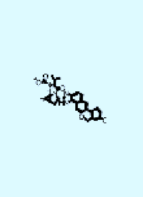 COC(=O)N[C@H](C(=O)N1C2C(C[C@H]1c1nc3ccc4cc5c(cc4c3[nH]1)OCc1cc(Cl)ccc1-5)[C@H]2C)C(C)C